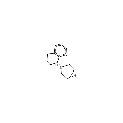 c1cnc2c(c1)CCC[C@H]2N1CCNCC1